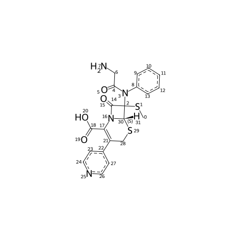 CSC1(N(C(=O)CN)c2ccccc2)C(=O)N2C(C(=O)O)=C(c3ccncc3)CS[C@H]21